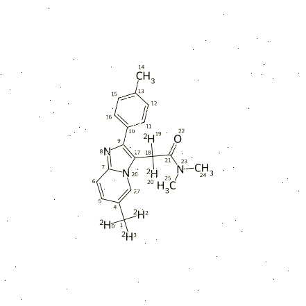 [2H]C([2H])([2H])c1ccc2nc(-c3ccc(C)cc3)c(C([2H])([2H])C(=O)N(C)C)n2c1